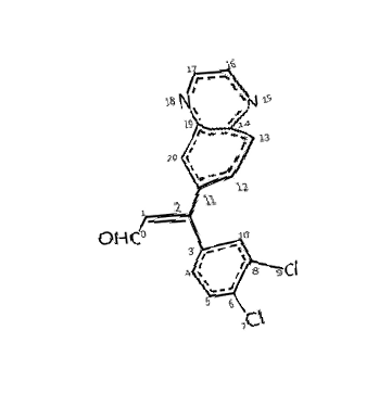 O=CC=C(c1ccc(Cl)c(Cl)c1)c1ccc2nccnc2c1